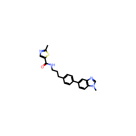 Cc1ncc(C(=O)NCCCc2ccc(-c3ccc4c(c3)ncn4C)cc2)s1